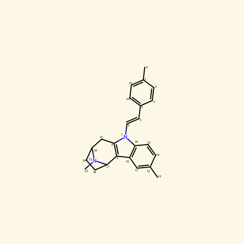 Cc1ccc(/C=C/n2c3c(c4cc(C)ccc42)C2CCC(C3)N2C)cc1